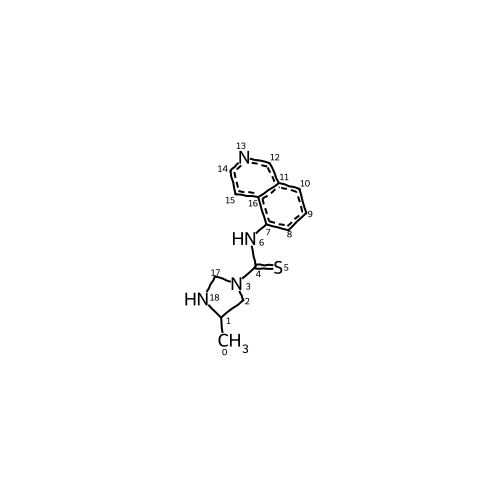 CC1CN(C(=S)Nc2cccc3cnccc23)CN1